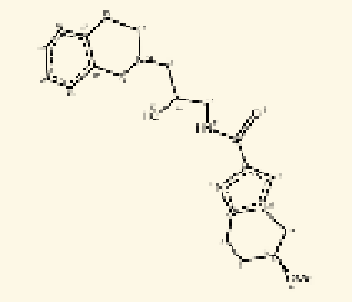 CO[C@H]1CCc2nc(C(=O)NCC(O)CN3CCc4ccccc4C3)cn2C1